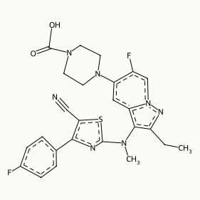 CCc1nn2cc(F)c(N3CCN(C(=O)O)CC3)cc2c1N(C)c1nc(-c2ccc(F)cc2)c(C#N)s1